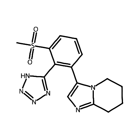 CS(=O)(=O)c1cccc(-c2cnc3n2CCCC3)c1-c1nnn[nH]1